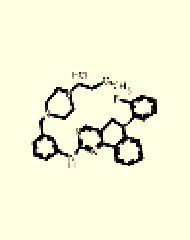 COCCN1CCN(Cc2cccc(Nc3ncc4c(n3)-c3ccccc3[C@H](c3ccccc3F)C4)c2)CC1.Cl